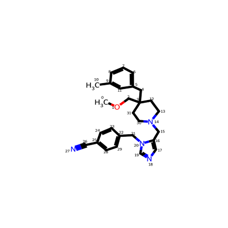 COCC1(Cc2cccc(C)c2)CCN(Cc2cncn2Cc2ccc(C#N)cc2)CC1